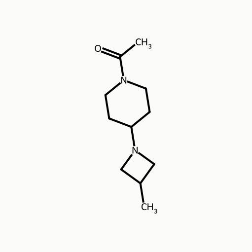 CC(=O)N1CCC(N2CC(C)C2)CC1